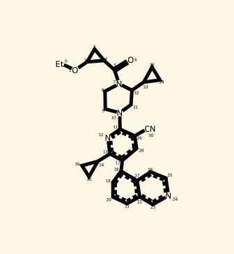 CCOC1CC1C(=O)N1CCN(c2nc(C3CC3)c(-c3cccc4cnccc34)cc2C#N)CC1C1CC1